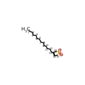 CCCCCCCCCCCCCCC1=CCS(=O)(=O)C1